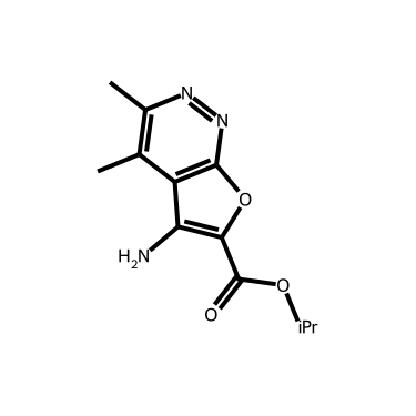 Cc1nnc2oc(C(=O)OC(C)C)c(N)c2c1C